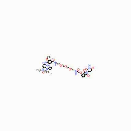 COc1cc(C(=O)NCCCOCCOCCOCCCNC(=O)COc2cccc3c2C(=O)N(C2CCC(=O)NC2=O)C3=O)ccc1NC1=CC=C2C(N1)N(C1CCCC1)[C@H](C)C(=O)N2C